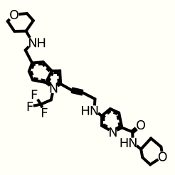 O=C(NC1CCOCC1)c1ccc(NCC#Cc2cc3cc(CNC4CCOCC4)ccc3n2CC(F)(F)F)cn1